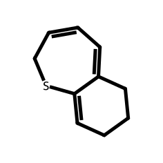 C1=CCSC2=CCCCC2=C1